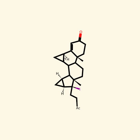 CC(=O)CC[C@]1(I)[C@H]2C[C@H]2C2C3C(CC[C@@]21C)[C@@]1(C)CCC(=O)C=C1[C@@H]1C[C@H]31